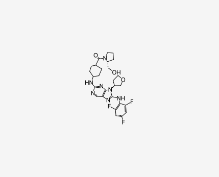 O=C(C1CCC(Nc2ncc3nc(Nc4c(F)cc(F)cc4F)n([C@H]4CCOC4)c3n2)CC1)N1CCC[C@@H]1CO